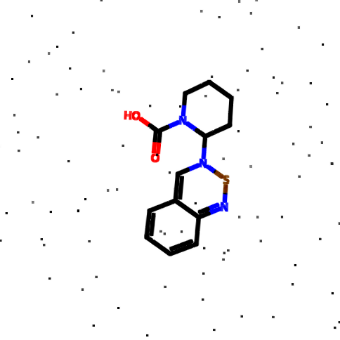 O=C(O)N1CCCCC1N1C=c2ccccc2=NS1